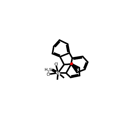 [CH3][Zr]([CH3])(=[SiH2])([Cl])([Cl])([CH]1C=CC=C1)[CH]1c2ccccc2-c2ccccc21